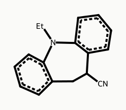 CCN1c2ccccc2CC(C#N)c2ccccc21